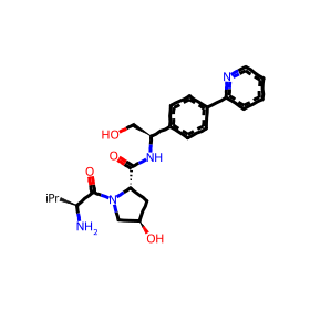 CC(C)[C@H](N)C(=O)N1C[C@H](O)C[C@H]1C(=O)N[C@@H](CO)c1ccc(-c2ccccn2)cc1